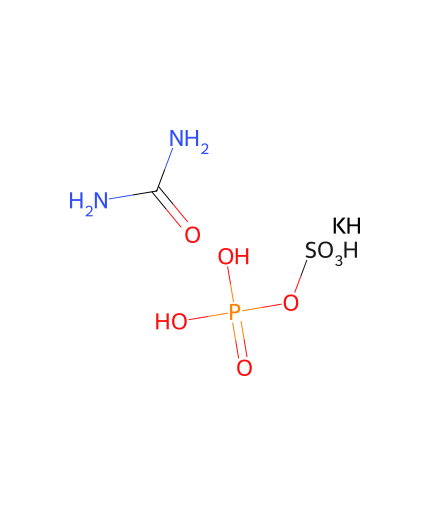 NC(N)=O.O=P(O)(O)OS(=O)(=O)O.[KH]